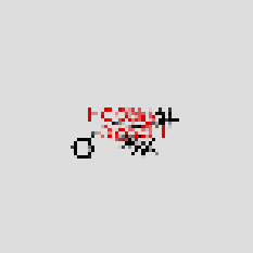 CC(C)(C)[Si](C)(C)OC(O)[C@@](O)(O[Si](C)(C)C(C)(C)C)[C@](O)(O[Si](C)(C)C(C)(C)C)C(O)OCc1ccccc1